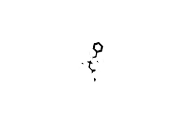 CCOC(=O)CC(NCc1ccccc1)(OC)OC